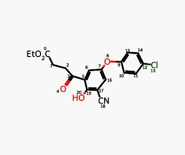 CCOC(=O)CCC(=O)c1cc(Oc2ccc(Cl)cc2)cc(C#N)c1O